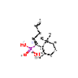 C=CC/C=C(\C1=C(C)CCCC1(C)C)P(=O)(O)O